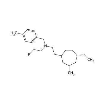 CC[C@H]1CCC(CCN(CCF)Cc2ccc(C)cc2)CC(C)C1